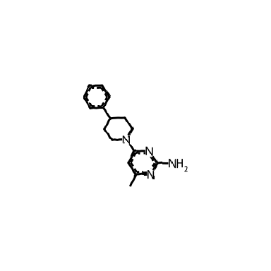 Cc1cc(N2CCC(c3ccccc3)CC2)nc(N)n1